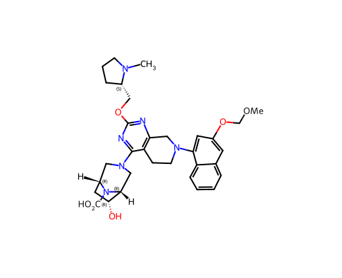 COCOc1cc(N2CCc3c(nc(OC[C@@H]4CCCN4C)nc3N3C[C@H]4C[C@@H](O)[C@@H](C3)N4C(=O)O)C2)c2ccccc2c1